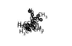 Cc1ccc(-c2ccc(-c3cccc(Oc4cc(C(C)(C)CC(C)(C)C)c(Oc5cccc(C)c5C#N)cc4C(C)(C)CC(C)(C)C)c3C#N)c(C(=O)c3ccc(Oc4ccccn4)cc3)c2)c(C(=O)c2ccccc2)c1